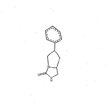 S=C1NCC2CC(c3ccccc3)CN12